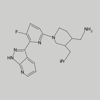 CC(C)CC1CN(c2ccc(F)c(-c3n[nH]c4ncccc34)n2)CCC1CN